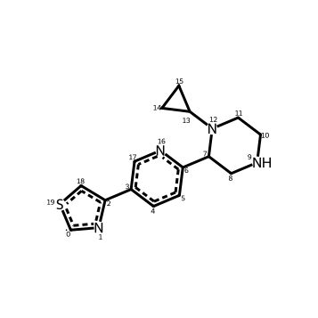 [c]1nc(-c2ccc(C3CNCCN3C3CC3)nc2)cs1